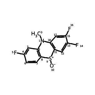 CN1c2cc(F)ccc2[S+]([O-])c2cc(F)c(F)cc21